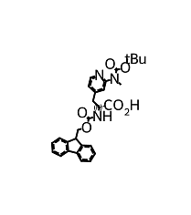 CN(C(=O)OC(C)(C)C)c1cc(C[C@@H](NC(=O)OCC2c3ccccc3-c3ccccc32)C(=O)O)ccn1